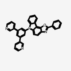 c1ccc(-c2nc3ccc4c(c5ccccc5n4-c4cc(-c5cccnc5)cc(-c5cccnc5)c4)c3o2)cc1